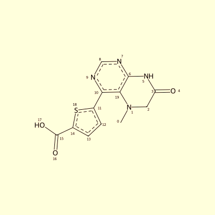 CN1CC(=O)Nc2ncnc(-c3ccc(C(=O)O)s3)c21